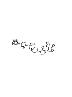 CC1=C(N2CCC(C3CCN(CC(O)c4ccc(-n5cnnn5)cn4)CC3)C2=O)COC1=O